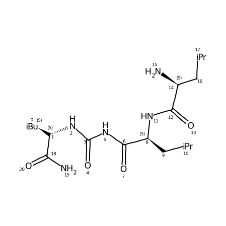 CC[C@H](C)[C@H](NC(=O)NC(=O)[C@H](CC(C)C)NC(=O)[C@@H](N)CC(C)C)C(N)=O